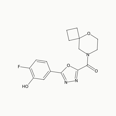 O=C(c1nnc(-c2ccc(F)c(O)c2)o1)N1CCOC2(CCC2)C1